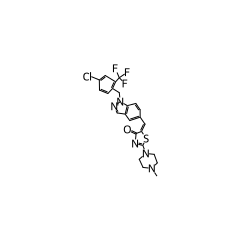 CN1CCN(C2=NC(=O)C(=Cc3ccc4c(cnn4Cc4ccc(Cl)cc4C(F)(F)F)c3)S2)CC1